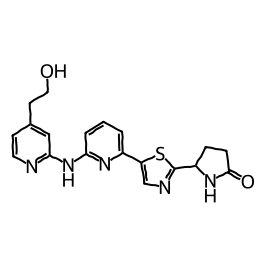 O=C1CCC(c2ncc(-c3cccc(Nc4cc(CCO)ccn4)n3)s2)N1